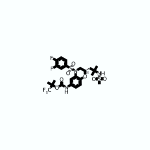 CC(C)(C[C@H]1CN(S(=O)(=O)c2ccc(F)c(F)c2)c2cc(NC(=O)OC(C)(C)C(F)(F)F)ccc2O1)NS(C)(=O)=O